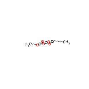 CCCCCCCCCc1ccc(C(=O)Oc2ccc(OC(=O)c3ccc(OCCCCCC)cc3)cc2)cc1